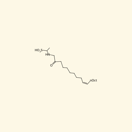 CCCCCCCC/C=C\CCCCCCCC(=O)CNC(C)S(=O)(=O)O